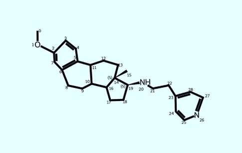 COc1ccc2c(c1)CCC1C2CC[C@@]2(C)C1CC[C@@H]2NCCc1ccncc1